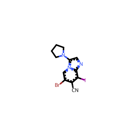 N#Cc1c(Br)cn2c(N3CCCC3)cnc2c1I